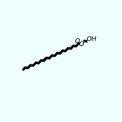 CCCCCCCCC=CCCCCCCCCCCCC(=O)OCCO